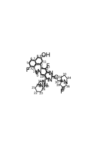 C#Cc1c(F)ccc2cc(O)cc(-c3ncc4c(N5CC6CCCC(C5)N6)nc(OC[C@@]56CCCN5C[C@H](F)C6)nc4c3F)c12